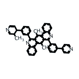 Cc1c2c(-c3cccc(C4C=CN=CC4C)c3)nc3ccccc3c2c(C)c2c(-c3cccc(-c4ccncc4)c3)nc3ccccc3c12